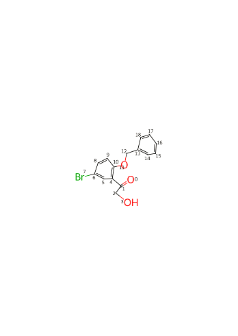 O=C(CO)c1cc(Br)ccc1OCc1ccccc1